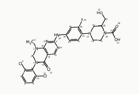 CN1CN(c2c(Cl)cccc2Cl)C(=O)c2cnc(Nc3ccc(N4CCN(C(=O)O)C(CO)C4)c(F)c3)nc21